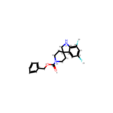 O=C(OCc1ccccc1)N1CCC2(CC1)CNc1c(F)cc(F)cc12